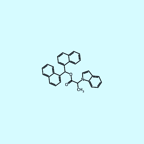 CC(C(=O)OC(c1cccc2ccccc12)c1cccc2ccccc12)n1ccc2ccccc21